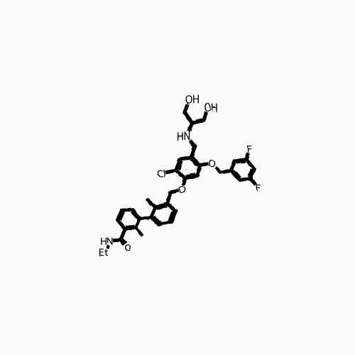 CCNC(=O)c1cccc(-c2cccc(COc3cc(OCc4cc(F)cc(F)c4)c(CNC(CO)CO)cc3Cl)c2C)c1C